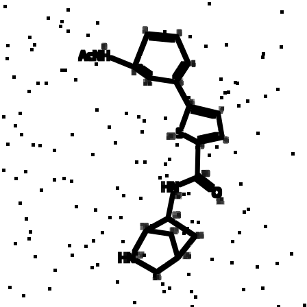 CC(=O)Nc1cccc(-c2ccc(C(=O)NC3CC4CNC3C4)s2)c1